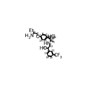 CCC(N)COc1ccc(CC(C)NCC(O)c2cccc(C(F)(F)F)c2)cc1.Cl.Cl